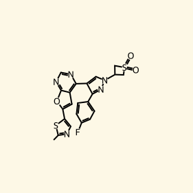 Cc1ncc(-c2cc3c(-c4cn(C5CS(=O)(=O)C5)nc4-c4ccc(F)cc4)ncnc3o2)s1